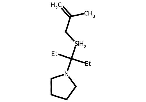 C=C(C)C[SiH2]C(CC)(CC)N1CCCC1